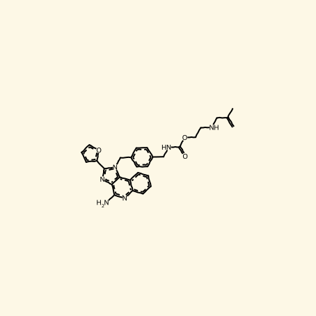 C=C(C)CNCCOC(=O)NCc1ccc(Cn2c(-c3ccco3)nc3c(N)nc4ccccc4c32)cc1